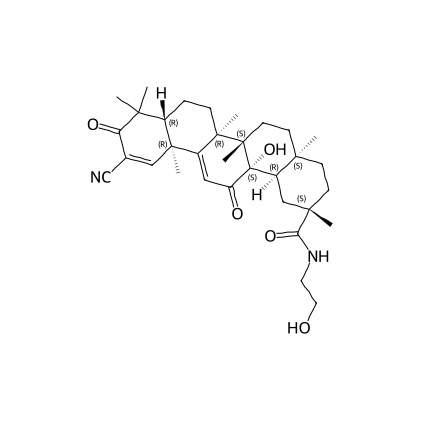 CC1(C)C(=O)C(C#N)=C[C@]2(C)C3=CC(=O)[C@]4(O)[C@@H]5C[C@@](C)(C(=O)NCCO)CC[C@]5(C)CC[C@@]4(C)[C@]3(C)CC[C@@H]12